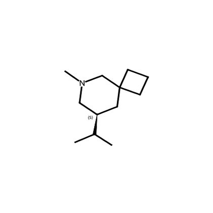 CC(C)[C@H]1CN(C)CC2(CCC2)C1